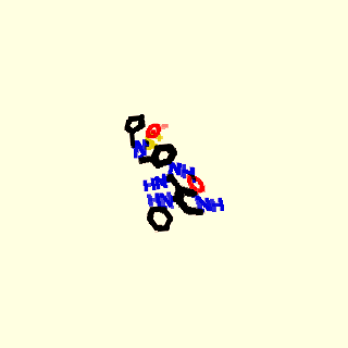 N=C(Nc1ccc2c(c1)CN(CC1CCCC1)[S+]2[O-])c1c(NC2CCCCC2)cc[nH]c1=O